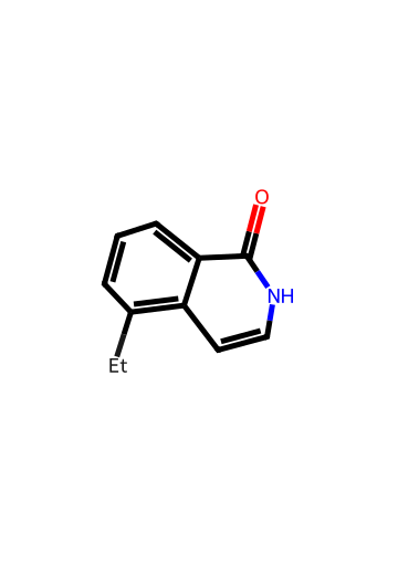 CCc1cccc2c(=O)[nH]ccc12